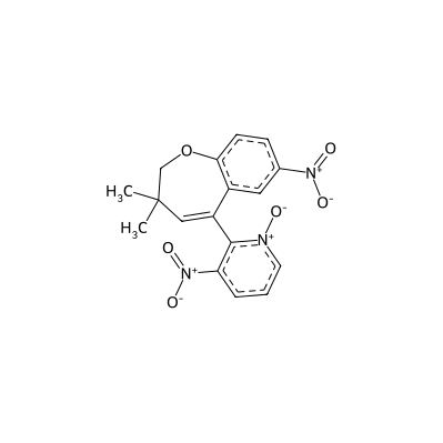 CC1(C)C=C(c2c([N+](=O)[O-])ccc[n+]2[O-])c2cc([N+](=O)[O-])ccc2OC1